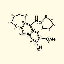 COc1cc2c(NC3CCCCC3)c3c(nc2cc1C#N)CCCCC3